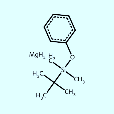 CC(C)(C)[Si](C)(C)Oc1c[c]ccc1.[MgH2]